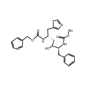 CC(C)(C)OC(=O)N[C@@H](Cc1ccccc1)[C@@H](O)C[C@@H](Cc1cncs1)NC(=O)OCc1cccnc1